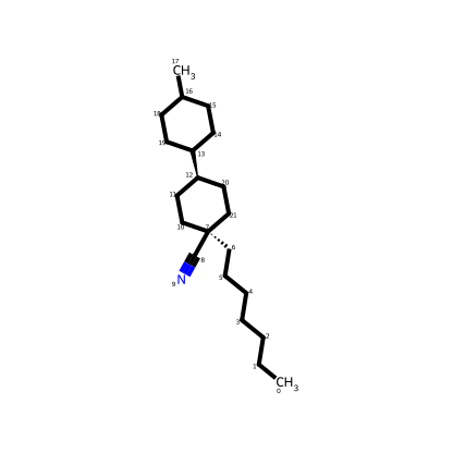 CCCCCCC[C@]1(C#N)CC[C@@H](C2CCC(C)CC2)CC1